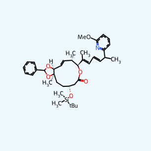 COc1cccc(C(C)/C=C/C=C(\C)[C@H]2OC(=O)C[C@H](O[Si](C)(C)C(C)(C)C)CC[C@@]3(C)OC(c4ccccc4)O[C@H]3/C=C/[C@@H]2C)n1